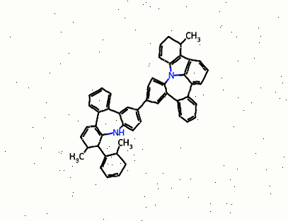 CC1CC=CC=C1C1C2=C(C=CC1C)c1ccccc1-c1cc(-c3ccc4c(c3)-c3ccccc3-c3cccc5c6c(n-4c35)C=CCC6C)ccc1N2